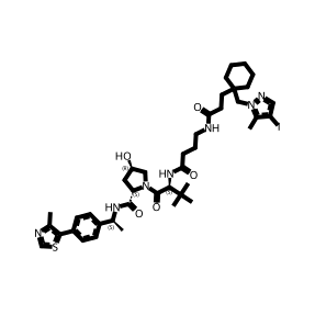 Cc1ncsc1-c1ccc([C@H](C)NC(=O)[C@@H]2C[C@@H](O)CN2C(=O)[C@@H](NC(=O)CCCNC(=O)CCC2(Cn3ncc(I)c3C)CCCCC2)C(C)(C)C)cc1